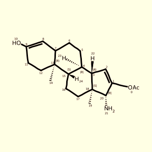 CC(=O)OC1=C[C@H]2[C@@H]3CCC4C=C(O)CC[C@]4(C)[C@H]3CC[C@]2(C)[C@H]1N